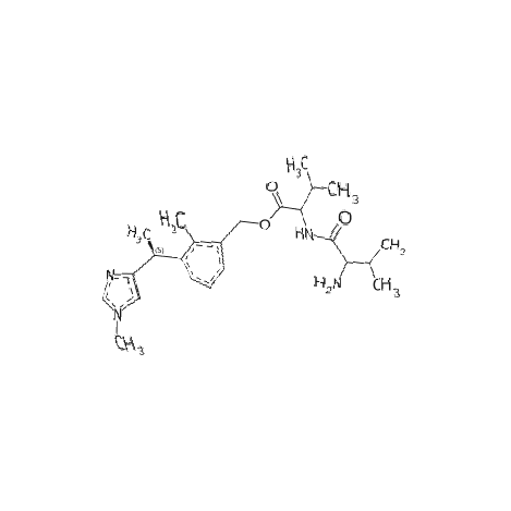 Cc1c(COC(=O)C(NC(=O)C(N)C(C)C)C(C)C)cccc1[C@H](C)c1cn(C)cn1